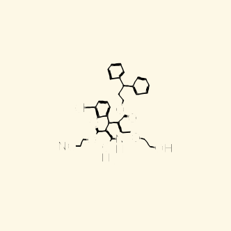 CC1=C(C(=O)OCCC#N)C(c2cccc(Cl)c2)C(C(=O)OCCC(c2ccccc2)c2ccccc2)=C(COCCO)N1